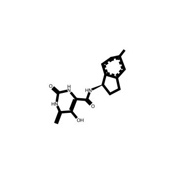 C=C1NC(=O)NC(C(=O)N[C@@H]2CCc3cc(C)ccc32)=C1O